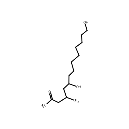 CC(=O)CC(C)CC(O)CCCCCCCCO